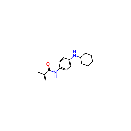 C=C(C)C(=O)Nc1ccc(NC2CCCCC2)cc1